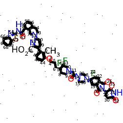 Cc1c(OCCC[C@@H]2CCN(CC(=O)N3CCN(c4cc5c(cc4F)C(=O)N(C4CCC(=O)NC4=O)C5=O)CC3)CC2(F)F)cccc1-c1ccc(N2CCc3cccc(C(=O)Nc4nc5ccccc5s4)c3C2)nc1C(=O)O